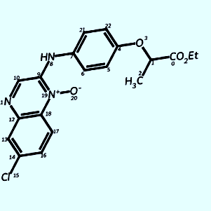 CCOC(=O)C(C)Oc1ccc(Nc2cnc3cc(Cl)ccc3[n+]2[O-])cc1